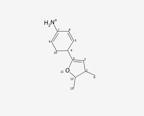 CC1C=C(C2C=CC(N)=CC2)OC1C